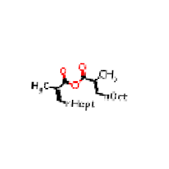 CCCCCCCC=C(C)C(=O)OC(=O)C(C)=CCCCCCCCC